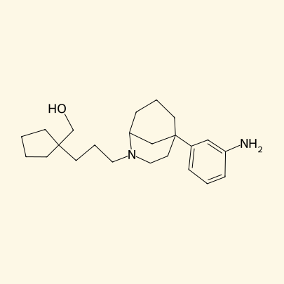 Nc1cccc(C23CCCC(C2)N(CCCC2(CO)CCCC2)CC3)c1